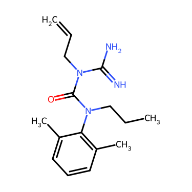 C=CCN(C(=N)N)C(=O)N(CCC)c1c(C)cccc1C